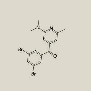 Cc1cc(C(=O)c2cc(Br)cc(Br)c2)cc(N(C)C)n1